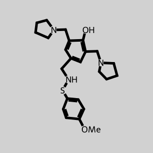 COc1ccc(SNCc2cc(CN3CCCC3)c(O)c(CN3CCCC3)c2)cc1